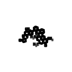 CC(=O)CC[C@H](C)CN1C(=O)CN(C)c2cc(-c3cccc(-c4cccc(-c5ccc6c(c5)N(C)CC(=O)N6C[C@@H]5CCC(=O)N5)c4Cl)c3Cl)ccc21